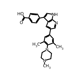 Cc1cc(-c2cnc3[nH]cc(-c4ccc(C(=O)O)cc4)c3c2)cc(C)c1N1CCN(C)CC1